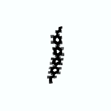 C=CC[C@H]1CC[C@H](c2ccc(-c3ccc([C@H]4CC[C@H](CC=C)CC4)cc3)cc2)CC1